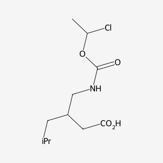 CC(C)CC(CNC(=O)OC(C)Cl)CC(=O)O